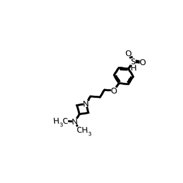 CN(C)C1CN(CCCOc2ccc([SH](=O)=O)cc2)C1